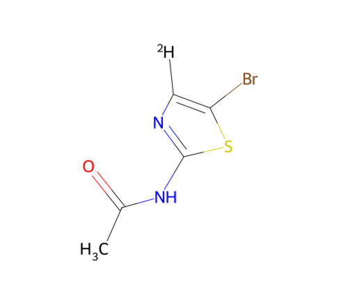 [2H]c1nc(NC(C)=O)sc1Br